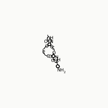 CC1=CN2C(=O)c3cc4c(cc3N=C[C@@H]2C1)OCCCOc1cc2c(cc1OCCCCCCCCO4)C(=O)N1C=C(c3ccc(N)cc3)C[C@H]1C=N2